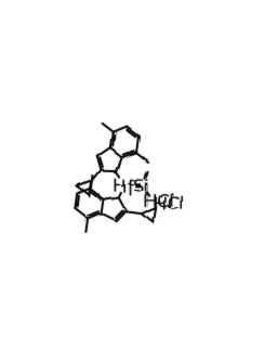 Cc1ccc(C)c2c1C=C(C1CC1)[CH]2[Hf]([CH]1C(C2CC2)=Cc2c(C)ccc(C)c21)=[Si](C)C.Cl.Cl